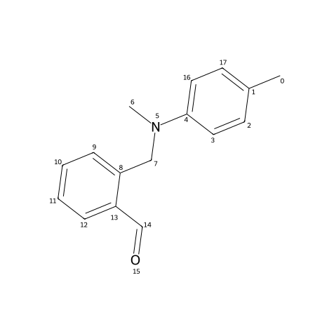 Cc1ccc(N(C)Cc2ccccc2C=O)cc1